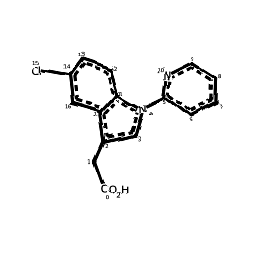 O=C(O)Cc1cn(-c2ccccn2)c2ccc(Cl)cc12